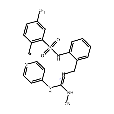 N#CN/C(=N\Cc1ccccc1NS(=O)(=O)c1cc(C(F)(F)F)ccc1Br)Nc1ccncc1